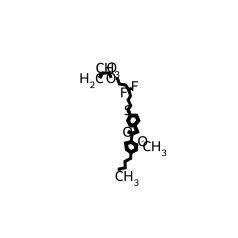 C=C(C)C(=O)OCCCC(F)(F)CCCSc1ccc2cc(-c3ccc(CCCCC)cc3OC)oc2c1